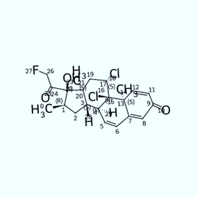 C[C@@H]1C[C@H]2[C@@H]3C=CC4=CC(=O)C=C[C@]4(C)[C@@]3(Cl)[C@@H](Cl)C[C@]2(C)[C@@]1(O)C(=O)CF